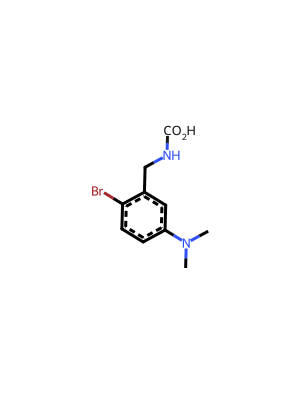 CN(C)c1ccc(Br)c(CNC(=O)O)c1